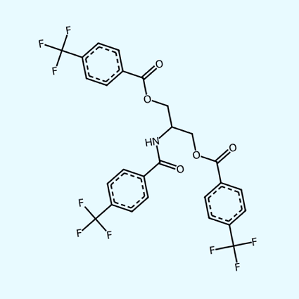 O=C(NC(COC(=O)c1ccc(C(F)(F)F)cc1)COC(=O)c1ccc(C(F)(F)F)cc1)c1ccc(C(F)(F)F)cc1